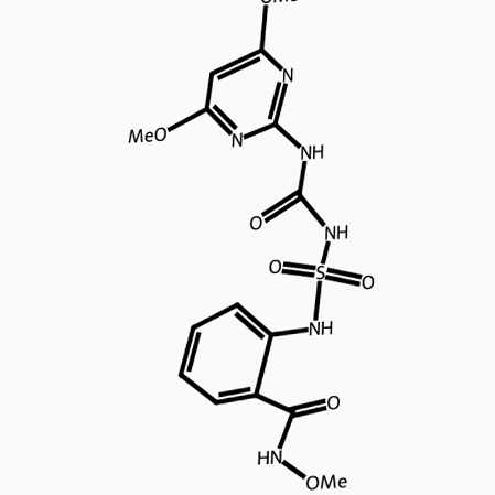 CONC(=O)c1ccccc1NS(=O)(=O)NC(=O)Nc1nc(OC)cc(OC)n1